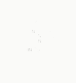 O=C(NCCc1ccccc1)c1cc2nc(-c3ccccc3)cc(-c3ccccc3)n2n1